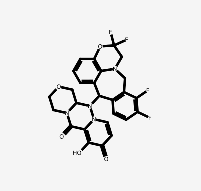 O=C1c2c(O)c(=O)ccn2N(C2c3ccc(F)c(F)c3CN3CC(F)(F)Oc4cccc2c43)C2COCCN12